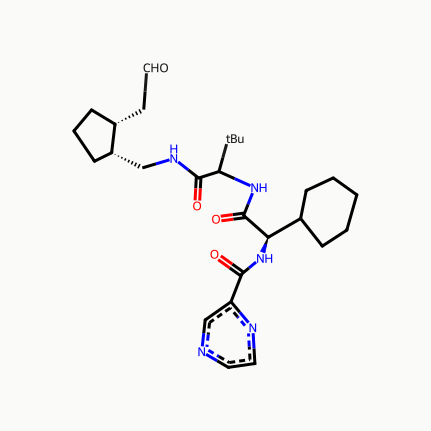 CC(C)(C)C(NC(=O)[C@H](NC(=O)c1cnccn1)C1CCCCC1)C(=O)NC[C@@H]1CCC[C@@H]1CC=O